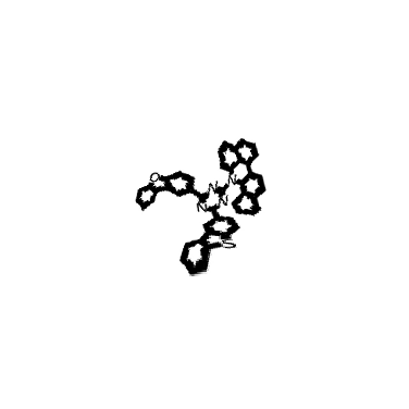 c1ccc2c3c(ccc2c1)-c1cccc2cccc(c12)N3c1nc(-c2ccc3oc4ccccc4c3c2)nc(-c2ccc3sc4ccccc4c3c2)n1